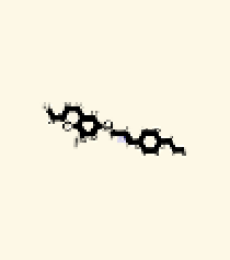 CCCC1CCC(/C=C/COc2cc(F)c3c(c2)CCC(CC)O3)CC1